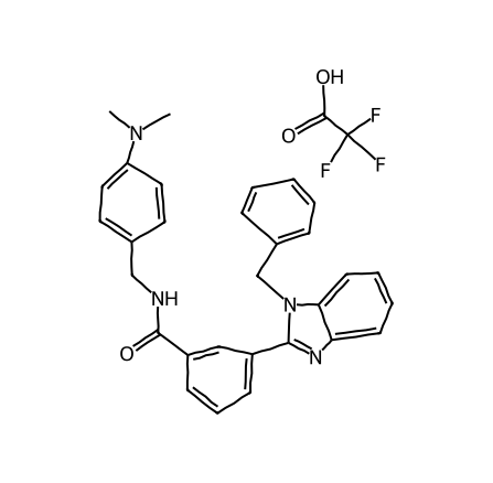 CN(C)c1ccc(CNC(=O)c2cccc(-c3nc4ccccc4n3Cc3ccccc3)c2)cc1.O=C(O)C(F)(F)F